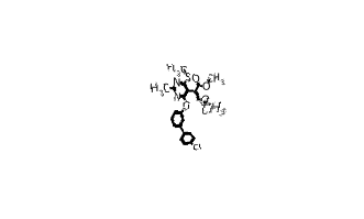 COC=C(C(=O)OC)c1c(Oc2cccc(-c3ccc(Cl)cc3)c2)nc(C)nc1SC